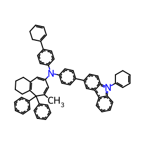 CC1=CC(N(c2ccc(C3=CC=CCC3)cc2)c2ccc(-c3ccc4c(c3)c3ccccc3n4C3=CC=CCC3)cc2)=CC2=C(CCCC2)C1(c1ccccc1)c1ccccc1